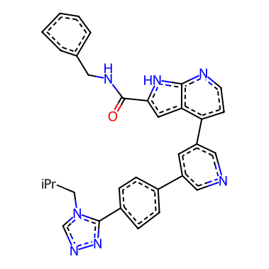 CC(C)Cn1cnnc1-c1ccc(-c2cncc(-c3ccnc4[nH]c(C(=O)NCc5ccccc5)cc34)c2)cc1